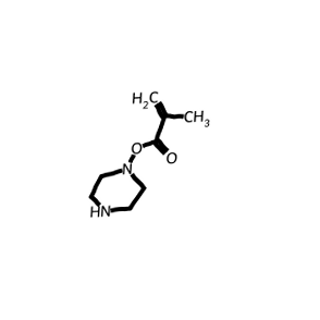 C=C(C)C(=O)ON1CCNCC1